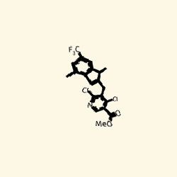 COC(=O)c1cnc(Cl)c(CC2=Cc3c(C)cc(C(F)(F)F)cc3C2C)c1Cl